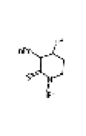 CCCC1CCN(C(C)C)C(=S)C1CCC